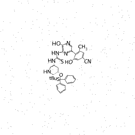 Cc1cc(C#N)cc(O)c1-c1cnc(O)c(NC(=S)N[C@H]2CNC[C@@H](O[Si](c3ccccc3)(c3ccccc3)C(C)(C)C)C2)n1